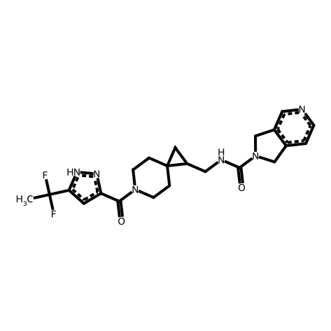 CC(F)(F)c1cc(C(=O)N2CCC3(CC2)CC3CNC(=O)N2Cc3ccncc3C2)n[nH]1